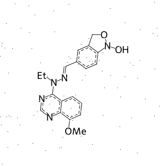 CCN(/N=C/c1ccc2c(c1)CON2O)c1ncnc2c(OC)cccc12